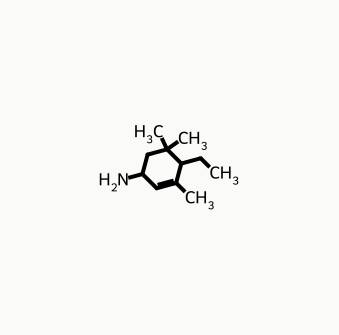 CCC1C(C)=CC(N)CC1(C)C